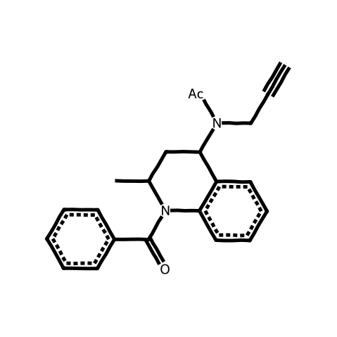 C#CCN(C(C)=O)C1CC(C)N(C(=O)c2ccccc2)c2ccccc21